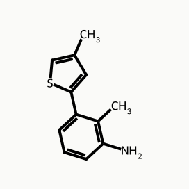 Cc1csc(-c2cccc(N)c2C)c1